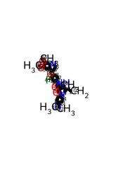 C=CCc1cn(-c2ccc(N(C)C)cc2)c(=O)c(C(=O)Nc2ccc(Oc3ccnc4cc(OC)c(OC)cc34)c(F)c2)c1C